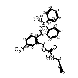 C#CCNC(=O)OCc1cc([N+](=O)[O-])ccc1CO[Si](c1ccccc1)(c1ccccc1)C(C)(C)C